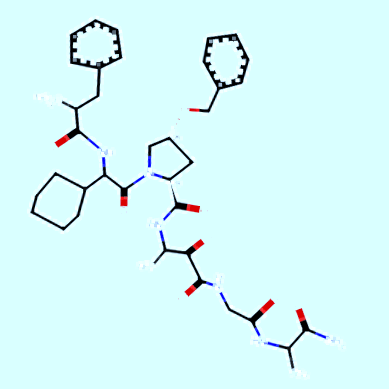 CCCCC(NC(=O)CNC(=O)C(=O)C(CCC)NC(=O)[C@@H]1C[C@@H](OCc2ccccc2)CN1C(=O)C(NC(=O)C(Cc1ccccc1)C(=O)O)C1CCCCC1)C(N)=O